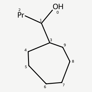 O[CH]([Pr])C1CCCCCC1